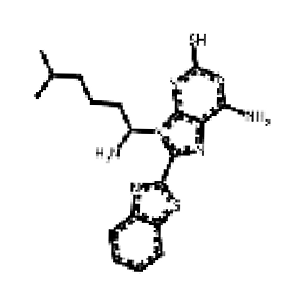 CC(C)CCCC(N)n1c(-c2nc3ccccc3s2)nc2c(N)nc(S)nc21